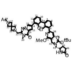 COc1nc(-c2cccc(-c3cccc(-c4cc5c(=O)n(C)c(CN6CC7(C6)CN(C(C)=O)C7)nn5c4)c3Cl)c2Cl)ccc1CN(C[C@@H]1CCC(=O)N1)C(=O)OC(C)(C)C